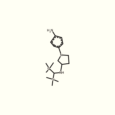 C[Si](C)(C)C(NC1CCN(c2ccc(N)cc2)C1)[Si](C)(C)C